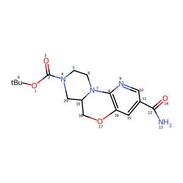 CC(C)(C)OC(=O)N1CCN2c3ncc(C(N)=O)cc3OCC2C1